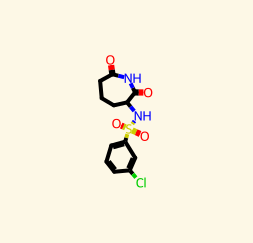 O=C1CCCC(NS(=O)(=O)c2cccc(Cl)c2)C(=O)N1